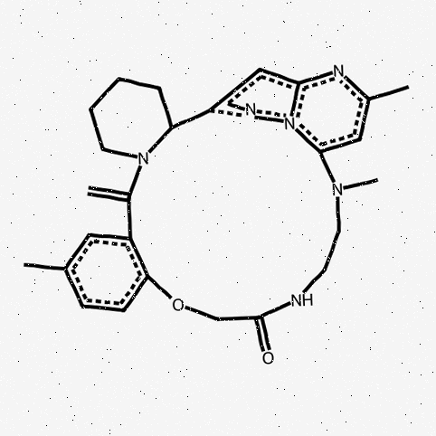 C=C1c2cc(C)ccc2OCC(=O)NCCN(C)c2cc(C)nc3cc(nn23)C2CCCCN12